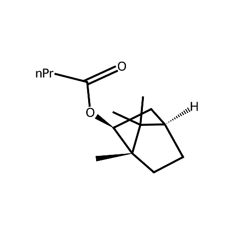 CCCC(=O)O[C@H]1C[C@H]2CC[C@@]1(C)C2(C)C